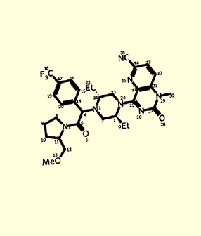 CC[C@H]1CN(C(C(=O)N2CCCC2COC)c2ccc(C(F)(F)F)cc2)[C@H](CC)CN1c1nc(=O)n(C)c2ccc(C#N)nc12